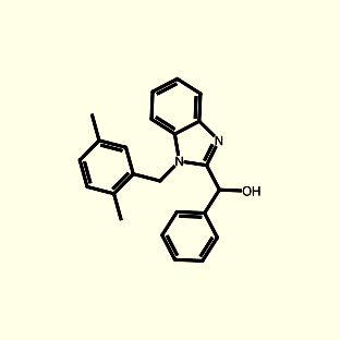 Cc1ccc(C)c(Cn2c(C(O)c3ccccc3)nc3ccccc32)c1